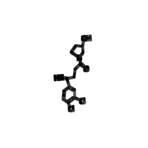 N=C(CCC(=O)N1CCC(O)C1)c1ccc(Cl)c(Cl)c1